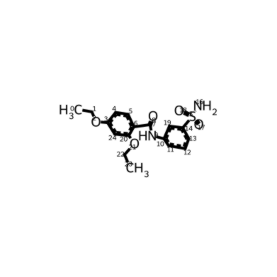 CCOc1ccc(C(=O)Nc2cccc(S(N)(=O)=O)c2)c(OCC)c1